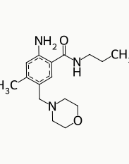 CCCNC(=O)c1cc(CN2CCOCC2)c(C)cc1N